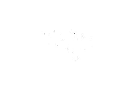 CN(C)c1ccc(-c2nc(O)c3cccnc3c2C#N)cc1